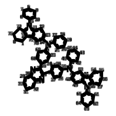 C1=Cc2c(n(-c3ccccc3)c3ccc(N(c4ccccc4)c4ccc(-c5nc6ccccc6nc5-c5ccc(N(c6ccccc6)c6ccc7c(c6)c6ccccc6n7-c6ccccc6)cc5)cc4)cc23)CC1